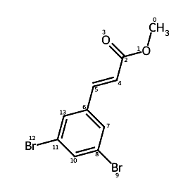 COC(=O)C=Cc1cc(Br)cc(Br)c1